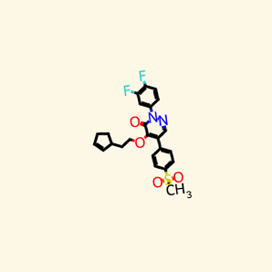 CS(=O)(=O)c1ccc(-c2cnn(-c3ccc(F)c(F)c3)c(=O)c2OCCC2C=CCC2)cc1